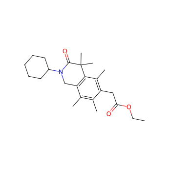 CCOC(=O)Cc1c(C)c(C)c2c(c1C)C(C)(C)C(=O)N(C1CCCCC1)C2